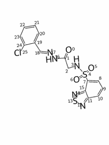 O=C(CNS(=O)(=O)c1cccc2nsnc12)NN=Cc1ccccc1Cl